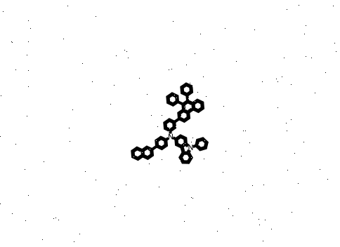 c1ccc(-c2c(-c3ccccc3)c3cc(-c4cccc(N(c5ccc(-c6ccc7ccccc7c6)cc5)c5ccc6c(c5)c5ccccc5n6-c5ccccc5)c4)ccc3c3ccccc23)cc1